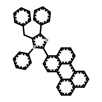 c1ccc(Cc2c(-c3ccccc3)nc(-c3ccc4c5cccc6cccc(c7cccc3c74)c65)n2-c2ccccc2)cc1